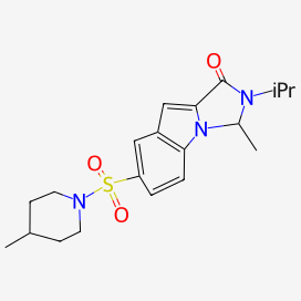 CC1CCN(S(=O)(=O)c2ccc3c(c2)cc2n3C(C)N(C(C)C)C2=O)CC1